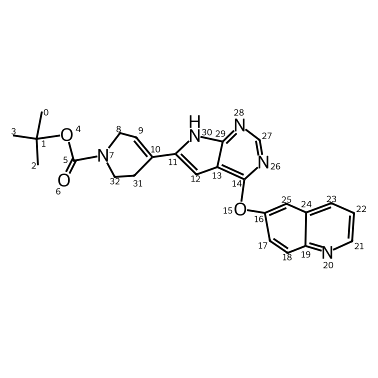 CC(C)(C)OC(=O)N1CC=C(c2cc3c(Oc4ccc5ncccc5c4)ncnc3[nH]2)CC1